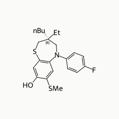 CCCC[C@@]1(CC)CSc2cc(O)c(SC)cc2N(c2ccc(F)cc2)C1